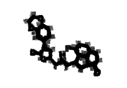 O=C1O[C@H](CNCC2Cn3c(=O)ccc4ccc(F)c2c43)CN1c1ccc2c(c1)OCCO2